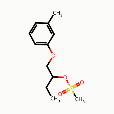 CCC(COc1cccc(C)c1)OS(C)(=O)=O